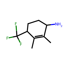 CC1=C(C)C(C(F)(F)F)CCC1N